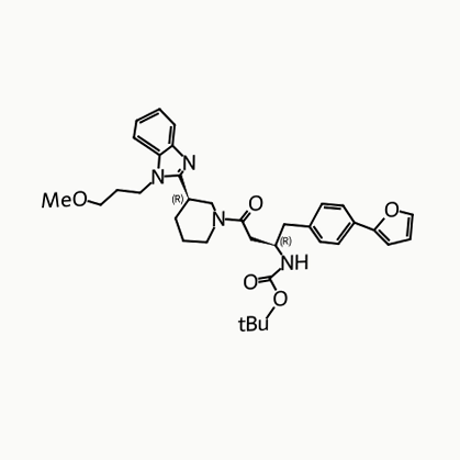 COCCCn1c([C@@H]2CCCN(C(=O)C[C@@H](Cc3ccc(-c4ccco4)cc3)NC(=O)OC(C)(C)C)C2)nc2ccccc21